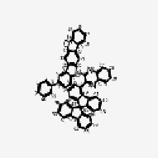 c1ccc(-c2ccc3c(c2)c2cc4oc5ccccc5c4cc2n3-c2nc3ccccc3nc2-c2cccc3c2-c2ccccc2C32c3ccccc3-c3ccccc32)cc1